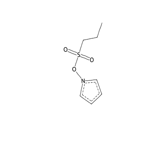 CCCS(=O)(=O)On1cccc1